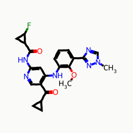 COc1c(Nc2cc(NC(=O)C3CC3F)ncc2C(=O)C2CC2)cccc1-c1ncn(C)n1